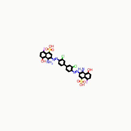 Nc1c(/N=N/c2ccc(-c3ccc(/N=N/c4cc(S(=O)(=O)O)c5c(I)ccc(O)c5c4N)c(Cl)c3)cc2Cl)cc(S(=O)(=O)O)c2c(I)ccc(O)c12